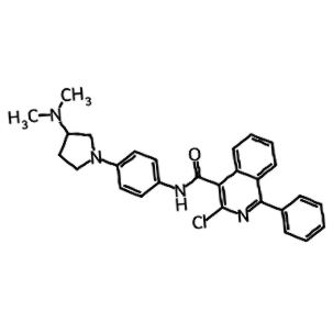 CN(C)C1CCN(c2ccc(NC(=O)c3c(Cl)nc(-c4ccccc4)c4ccccc34)cc2)C1